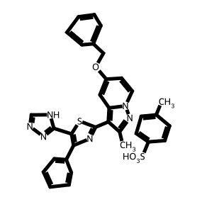 Cc1ccc(S(=O)(=O)O)cc1.Cc1nn2ccc(OCc3ccccc3)cc2c1-c1nc(-c2ccccc2)c(-c2nnc[nH]2)s1